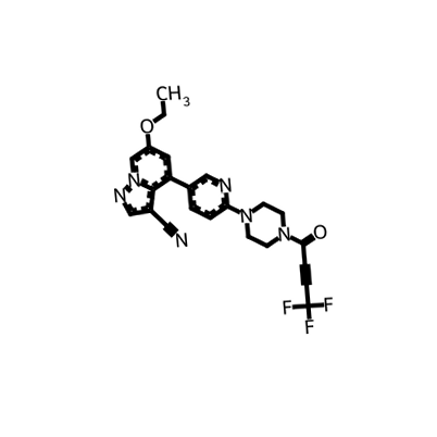 CCOc1cc(-c2ccc(N3CCN(C(=O)C#CC(F)(F)F)CC3)nc2)c2c(C#N)cnn2c1